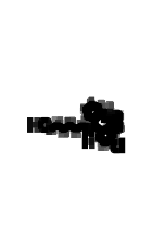 CN1c2ccccc2C(NCCCCCCO)c2ccc(Cl)cc2S1(=O)=O